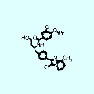 Cc1cccn2c(Cl)c(-c3ccc(C[C@@H](CCO)NC(=O)c4ccc(OC(C)C)c(Cl)c4)cc3)nc12